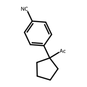 CC(=O)C1(c2ccc(C#N)cc2)CCCC1